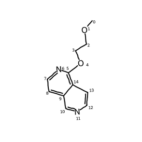 COCCOc1nccc2cnccc12